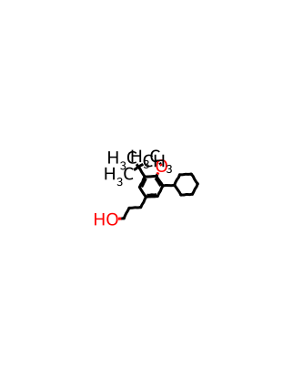 COc1c(C2CCCCC2)cc(CCCO)cc1C(C)(C)C